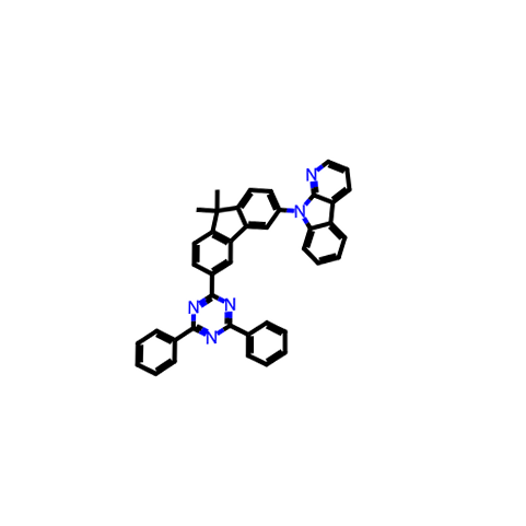 CC1(C)c2ccc(-c3nc(-c4ccccc4)nc(-c4ccccc4)n3)cc2-c2cc(-n3c4ccccc4c4cccnc43)ccc21